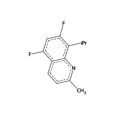 Cc1ccc2c(F)cc(F)c(C(C)C)c2n1